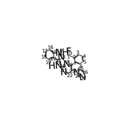 FCc1ccccc1-c1nc(Nc2n[nH]c3ccccc23)ncc1-n1ccnc1